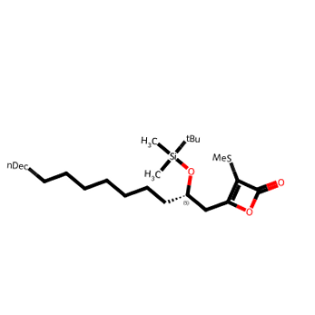 CCCCCCCCCCCCCCCCC[C@@H](CC1=C(SC)C(=O)O1)O[Si](C)(C)C(C)(C)C